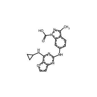 Cc1nn(C(=O)O)c2cc(Nc3nc(NC4CC4)c4occc4n3)ccc12